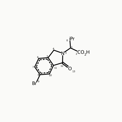 CC(C)C(C(=O)O)N1Cc2ccc(Br)cc2C1=O